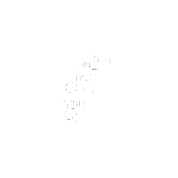 O=C(NC1C2=C(CCC=C2)c2c(-c3nc4ccncc4[nH]3)cccc21)C1=CC(O)=NCN1